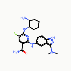 CN(C)c1n[nH]c2ccc(Nc3nc(N[C@@H]4CCCC[C@@H]4N)c(F)cc3C(N)=O)cc12